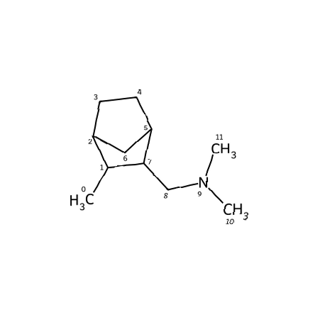 CC1C2CCC(C2)C1CN(C)C